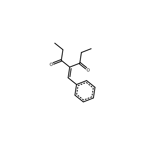 CCC(=O)C(=Cc1ccccc1)C(=O)CC